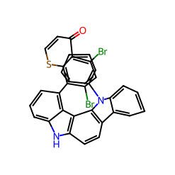 O=c1ccsc2c(-c3cccc4[nH]c5ccc6c7ccccc7n(-c7ccccc7)c6c5c34)c(Br)cc(Br)c12